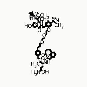 Cc1ncsc1-c1ccc(CNC(=O)[C@@H]2C[C@@H](O)CN2C(=O)[C@@H](NC(=O)C2(F)CC2)C(C)(C)C)c(OCCOCCOCCCc2ccc(CO[C@H](C)[C@H](CCC(N)O)NC(=O)[C@@H]3Cc4cccc5c4N3C(=O)CCC5)cc2)c1